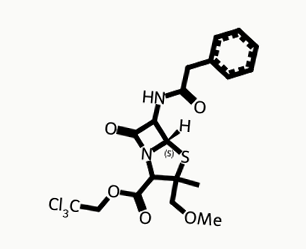 COCC1(C)S[C@H]2C(NC(=O)Cc3ccccc3)C(=O)N2C1C(=O)OCC(Cl)(Cl)Cl